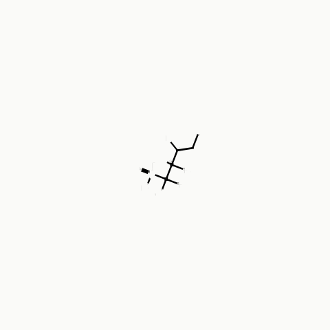 CCC(F)C(F)(F)C(F)(F)P(=O)(O)F